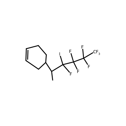 CC(C1CC=CCC1)C(F)(I)C(F)(F)C(F)(F)C(F)(F)F